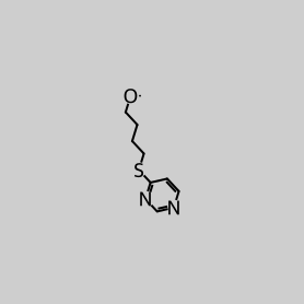 [O]CCCCSc1ccncn1